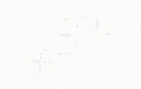 CCC(N)(CC(N)=O)c1ccc(CP(=O)(O)O)cc1